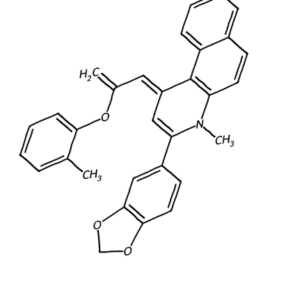 C=C(/C=C1\C=C(c2ccc3c(c2)OCO3)N(C)c2ccc3ccccc3c21)Oc1ccccc1C